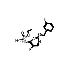 CCOP(=O)(O)Nc1nc(OCc2cccc(F)c2)ncc1F